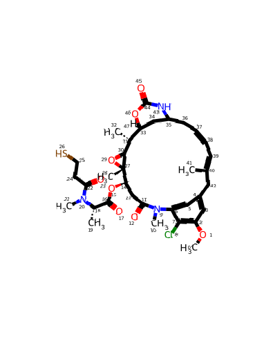 COc1cc2cc(c1Cl)N(C)C(=O)C[C@@H](OC(=O)[C@H](C)N(C)C(=O)CCS)[C@]1(C)OC1[C@H](C)[C@@H]1CC(C/C=C\C=C(/C)C2)NC(=O)O1